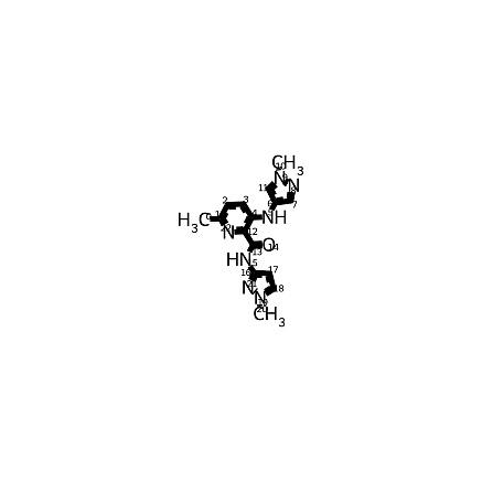 Cc1ccc(Nc2cnn(C)c2)c(C(=O)Nc2ccn(C)n2)n1